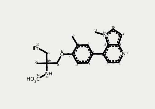 Cc1cc(-c2ccnc3ccn(C)c23)ccc1OCC(C)(CC(C)C)NC(=O)O